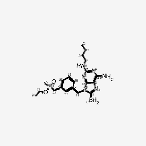 Bc1nc2c(N)nc(NCCCC)nc2n1Cc1cccc(CP(C)(=O)OCC)c1